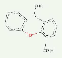 O=CCc1cccc(C(=O)O)c1Oc1ccccc1